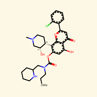 COCCN(CC1CCCCN1)C(=O)Oc1cc(O)c2c(=O)cc(-c3ccccc3Cl)oc2c1[C@H]1CCN(C)C[C@H]1O